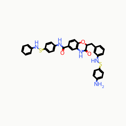 Nc1ccc(SNc2cccc(CC3Oc4ccc(C(=O)Nc5ccc(SNc6ccccc6)cc5)cc4NC3=O)c2)cc1